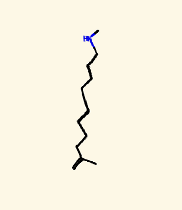 C=C(C)CCCCCCCCNC